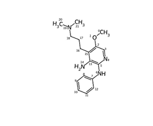 COc1cnc(Nc2ccccc2)c(N)c1CCCN(C)C